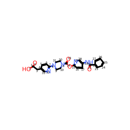 O=C(O)Cc1ccc(N2CCN(C(=O)Oc3ccc(NC(=O)c4ccccc4)cn3)CC2)nc1